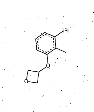 Cc1c(OC2COC2)cccc1C(C)C